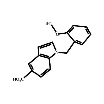 CC(C)Oc1ccccc1Cn1ccc2cc(C(=O)O)ccc21